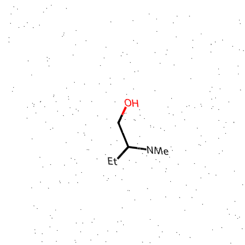 CCC(CO)NC